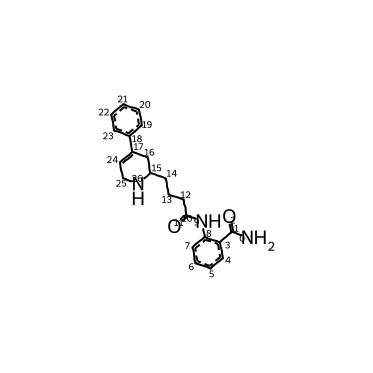 NC(=O)c1ccccc1NC(=O)CCCC1CC(c2ccccc2)=CCN1